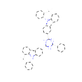 CC1(C)c2ccccc2-n2c3ccc(-c4nc(-c5ccccc5)nc(-c5ccc6c(c5)c5cccc7c5n6-c5ccccc5C7(C)C)n4)cc3c3cccc1c32